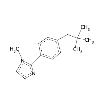 Cn1ccnc1-c1ccc(CC(C)(C)C)cc1